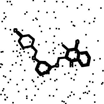 Cc1c(COc2cc(OCC3CCC(=O)CC3)ccn2)[nH]c2ccccc2c1=O